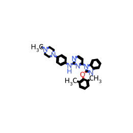 Cc1cccc(C)c1Oc1nc2ccccc2n1-c1ccnc(Nc2ccc(N3CCN(C)CC3)cc2)n1